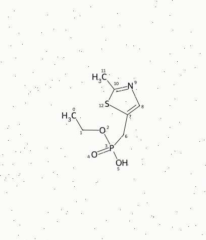 CCOP(=O)(O)Cc1cnc(C)s1